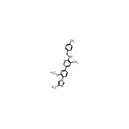 COc1nc(-c2cc(C)c(NCc3ccc(C)cc3)nn2)ccc1-n1cnc(C)c1